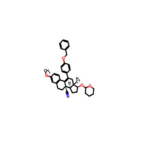 COc1ccc2c(c1)CC[C@]1(C#N)C2=C(c2ccc(OCc3ccccc3)cc2)C[C@]2(C)[C@@H](OC3CCCCO3)CC[C@H]21